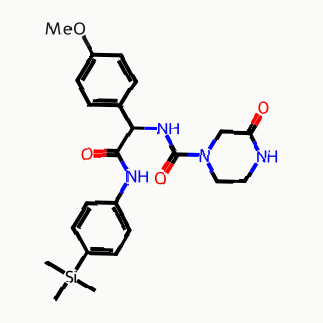 COc1ccc(C(NC(=O)N2CCNC(=O)C2)C(=O)Nc2ccc([Si](C)(C)C)cc2)cc1